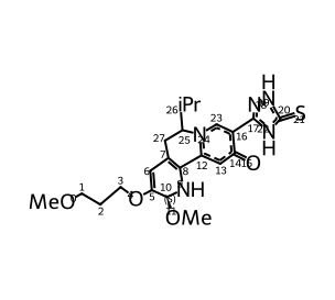 COCCCOC1=CC2=C(N[C@H]1OC)c1cc(=O)c(-c3n[nH]c(=S)[nH]3)cn1C(C(C)C)C2